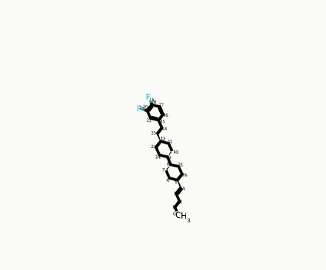 CCCC=C[C@H]1CC[C@H]([C@H]2CC[C@H](CCc3ccc(F)c(F)c3)CC2)CC1